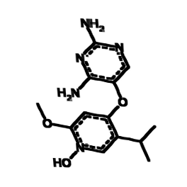 COc1cc(Oc2cnc(N)nc2N)c(C(C)C)c[n+]1O